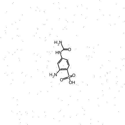 NC(=O)Nc1[c]cc(S(=O)(=O)O)c(N)c1